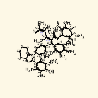 B=c1c(-c2c(O)c(B)c(C)c(B)c2O)c2c(B)c(B)c(B)c(B)c2c(-c2ccc(-n3c(-c4c(B)c(O)c(O)c(B)c4O)nc4c3C=CCC4)cc2)/c1=C(B)/C(B)=C(/B)C